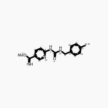 COC(=N)c1ccc(NC(=O)NCc2ccc(F)cc2)nc1